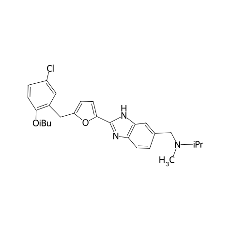 CC(C)COc1ccc(Cl)cc1Cc1ccc(-c2nc3ccc(CN(C)C(C)C)cc3[nH]2)o1